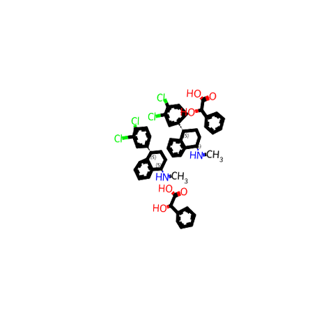 CN[C@H]1CC[C@@H](c2ccc(Cl)c(Cl)c2)c2ccccc21.CN[C@H]1CC[C@@H](c2ccc(Cl)c(Cl)c2)c2ccccc21.O=C(O)C(O)c1ccccc1.O=C(O)C(O)c1ccccc1